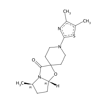 Cc1nc(N2CCC3(CC2)O[C@@H]2CC[C@@H](C)N2C3=O)sc1C